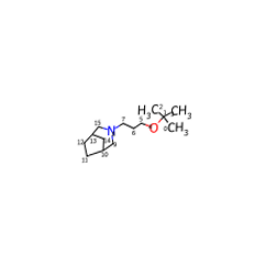 CC(C)(C)OCCCN1CC2CCC(C2)C1